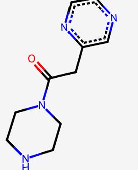 O=C(Cc1cnccn1)N1CCNCC1